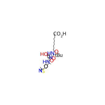 Cc1ncsc1-c1ccc(C(C)NC(=O)[C@@H]2C[C@@H](O)CN2C(=O)C(NC(=O)CCCCCCCCCC(=O)O)C(C)(C)C)cc1